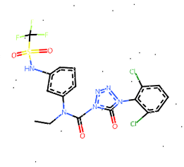 CCN(C(=O)n1nnn(-c2c(Cl)cccc2Cl)c1=O)c1cccc(NS(=O)(=O)C(F)(F)F)c1